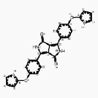 O=C1NC(c2ccc(Oc3cccs3)cc2)=C2C(=O)NC(c3ccc(Oc4cccs4)cc3)=C12